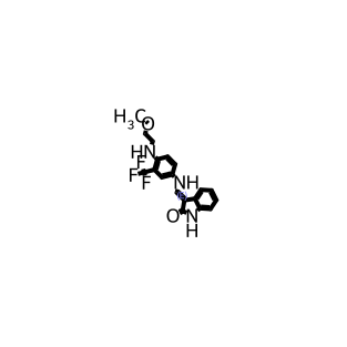 COCCNc1ccc(N/C=C2/C(=O)Nc3ccccc32)cc1C(F)(F)F